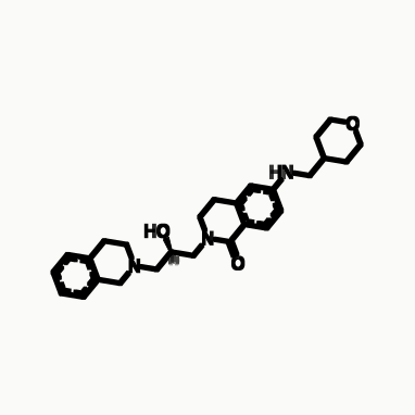 O=C1c2ccc(NCC3CCOCC3)cc2CCN1C[C@H](O)CN1CCc2ccccc2C1